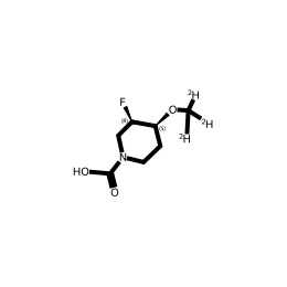 [2H]C([2H])([2H])O[C@H]1CCN(C(=O)O)C[C@H]1F